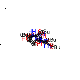 CC(C)(C)OC(=O)NCCCC[C@@H](CNC(=O)[C@@H]1C[C@@H](O)CN1C(=O)[C@@H]1Cc2cc(ccc2O)-c2ccc(O)c(c2)C[C@H](NC(=O)OC(C)(C)C)C(=O)N[C@@H](CCCNC(=O)OC(C)(C)C)C(=O)N1)NC(=O)OC(C)(C)C